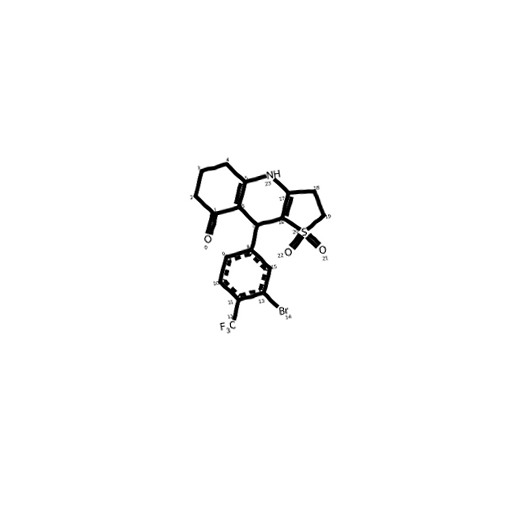 O=C1CCCC2=C1C(c1ccc(C(F)(F)F)c(Br)c1)C1=C(CCS1(=O)=O)N2